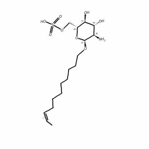 C/C=C\CCCCCCCCO[C@H]1O[C@H](COS(=O)(=O)O)[C@@H](O)[C@H](O)[C@H]1N